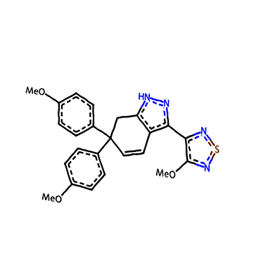 COc1ccc(C2(c3ccc(OC)cc3)C=Cc3c(-c4nsnc4OC)n[nH]c3C2)cc1